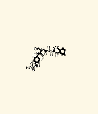 O=CC(CC(=O)NNC(=S)Nc1ccccc1Cl)C(S)Nc1ccc(NS(=O)(=O)O)cc1